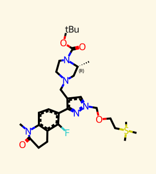 C[C@@H]1CN(Cc2cn(COCCS(C)(C)C)nc2-c2ccc3c(c2F)CCC(=O)N3C)CCN1C(=O)OC(C)(C)C